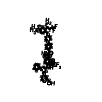 C=C(CCC(F)F)C1=C(CN2CCN(c3ccc(C(=O)NS(=O)(=O)c4ccc(N[C@H](CCN5CCO[C@H](CO)C5)CSc5ccccc5)c(S(=O)(=O)C(F)(F)F)c4)cc3)CC2)CCC(C)(C)C1